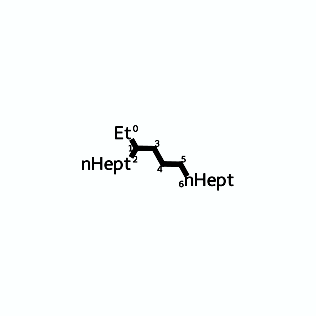 [CH2]CC(CCCCCCC)CCCCCCCCCC